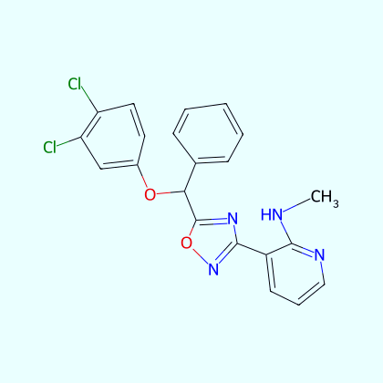 CNc1ncccc1-c1noc(C(Oc2ccc(Cl)c(Cl)c2)c2ccccc2)n1